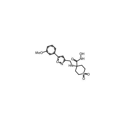 COc1cccc(-c2cc(CNC3(C(=O)NO)CCS(=O)(=O)CC3)no2)c1